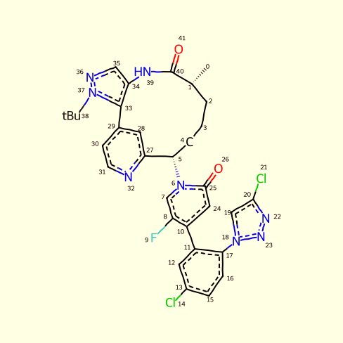 C[C@@H]1CCC[C@H](n2cc(F)c(-c3cc(Cl)ccc3-n3cc(Cl)nn3)cc2=O)c2cc(ccn2)-c2c(cnn2C(C)(C)C)NC1=O